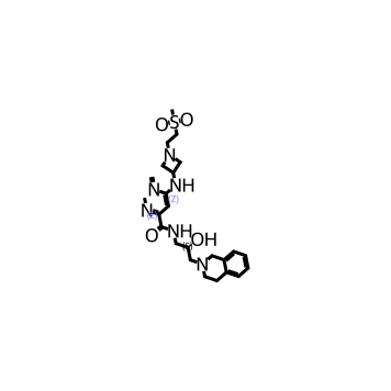 C=N/C(=C\C(=N/C)C(=O)NC[C@H](O)CN1CCc2ccccc2C1)NC1CN(CCS(C)(=O)=O)C1